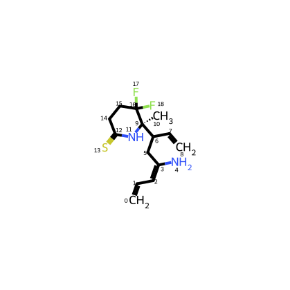 C=C/C=C(/N)CC(C=C)[C@@]1(C)NC(=S)CCC1(F)F